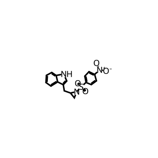 O=[N+]([O-])c1ccc(S(=O)(=O)N2CC2Cc2c[nH]c3ccccc23)cc1